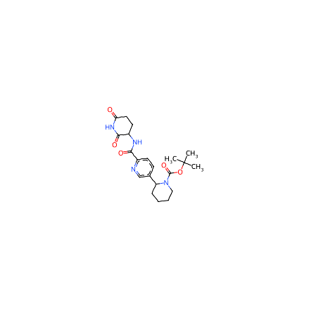 CC(C)(C)OC(=O)N1CCCCC1c1ccc(C(=O)NC2CCC(=O)NC2=O)nc1